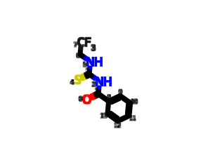 O=C(NC(=S)NCC(F)(F)F)c1ccccc1